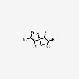 CCC(CC)C(CC)P(=O)(O)C(CC)C(CC)CC